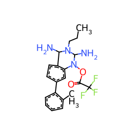 CCCN1C(N)c2ccc(-c3ccccc3C)cc2N(OC(=O)C(F)(F)F)C1N